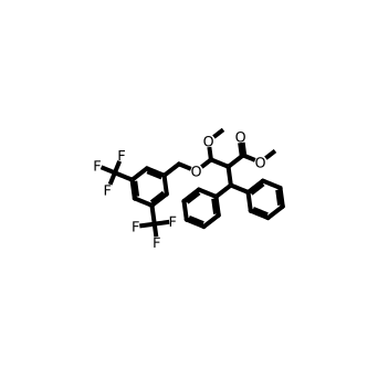 COC(=O)C(C(OC)OCc1cc(C(F)(F)F)cc(C(F)(F)F)c1)C(c1ccccc1)c1ccccc1